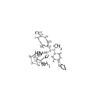 CC(c1ccc(Cl)cc1)C(CNC1(C(N)=O)CCCC1)c1ccc(Cl)cc1